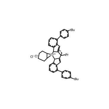 CC(C)CC1=Cc2c(-c3ccc(C(C)(C)C)cc3)cccc2[CH]1[Ti+2]1([CH]2C(CC(C)C)=Cc3c(-c4ccc(C(C)(C)C)cc4)cccc32)[CH]2CCCC[CH]21.[Cl-].[Cl-]